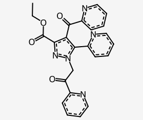 CCOC(=O)c1nn(CC(=O)c2ccccn2)c(-c2ccccn2)c1C(=O)c1ccccn1